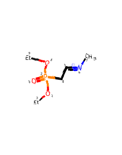 CCOP(=O)(C/C=N/C)OCC